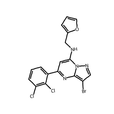 Clc1cccc(-c2cc(NCc3ccco3)n3ncc(Br)c3n2)c1Cl